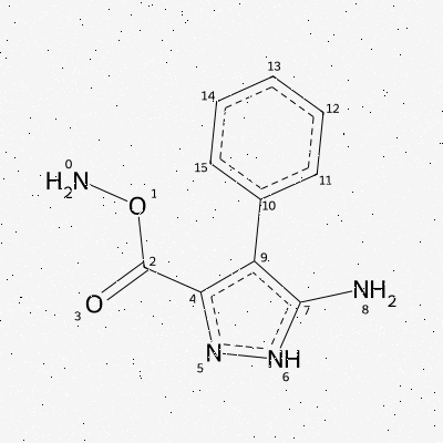 NOC(=O)c1n[nH]c(N)c1-c1ccccc1